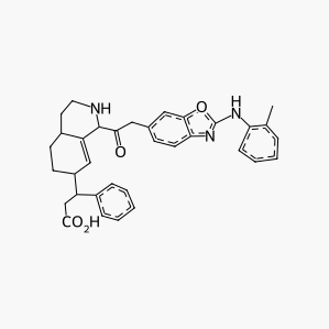 Cc1ccccc1Nc1nc2ccc(CC(=O)C3NCCC4CCC(C(CC(=O)O)c5ccccc5)C=C43)cc2o1